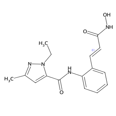 CCn1nc(C)cc1C(=O)Nc1ccccc1/C=C/C(=O)NO